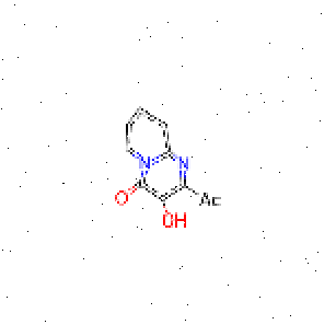 CC(=O)c1nc2ccccn2c(=O)c1O